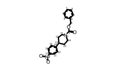 O=C(OCc1ccccc1)N1CCC(c2ccc([N+](=O)[O-])cc2)CC1